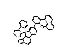 c1ccc2c(c1)-c1ccccc1C21c2cc(-c3cccc4c3Oc3cccc5cccc-4c35)ccc2-c2ccc3ccccc3c21